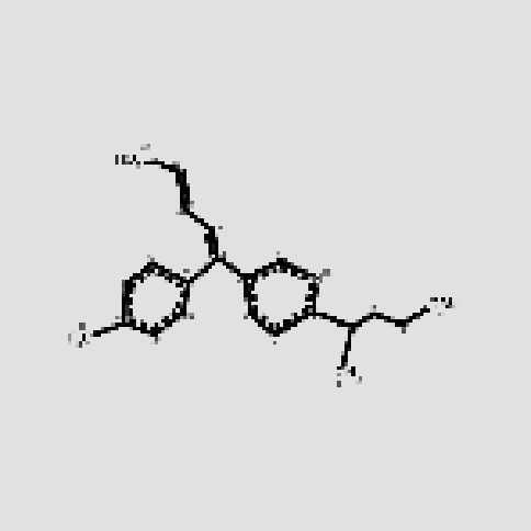 COCCC(C)c1ccc(C(=CC=CC(=O)O)c2ccc(C(F)(F)F)cc2)cn1